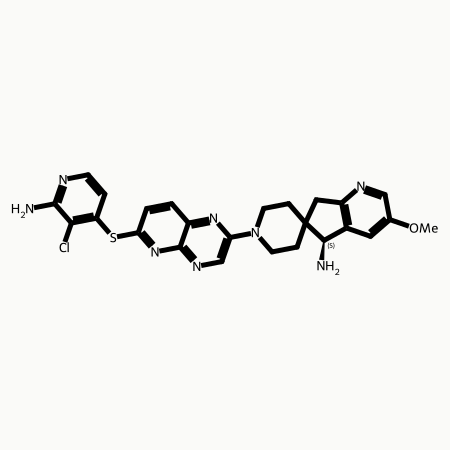 COc1cnc2c(c1)[C@@H](N)C1(CCN(c3cnc4nc(Sc5ccnc(N)c5Cl)ccc4n3)CC1)C2